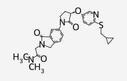 CN(C)C(=O)CN1Cc2ccc(N3CC[C@@H](Oc4ccc(SCC5CC5)nc4)C3=O)cc2C1=O